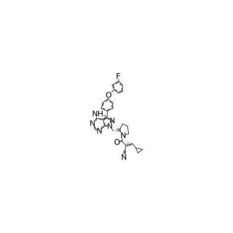 N#C/C(=C\C1CC1)C(=O)N1CCC[C@H]1Cn1nc(-c2ccc(Oc3cccc(F)c3)cc2)c2c(N)ncnc21